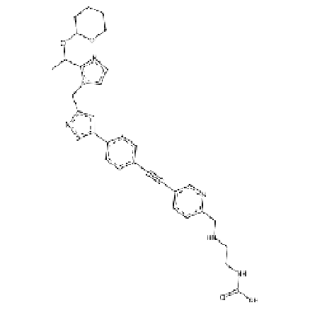 CC(OC1CCCCO1)c1nccn1Cc1cc(-c2ccc(C#Cc3ccc(CNCCNC(=O)O)nc3)cc2)on1